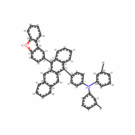 Cc1cccc(N(c2ccc(-c3c4ccccc4c(-c4ccc5oc6ccccc6c5c4)c4cc5ccccc5cc34)cc2)c2cccc(C)c2)c1